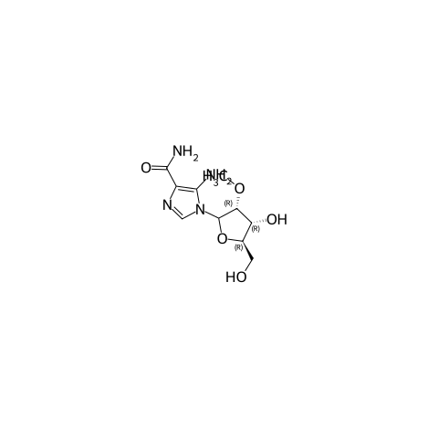 CO[C@H]1C(n2cnc(C(N)=O)c2N)O[C@H](CO)[C@H]1O